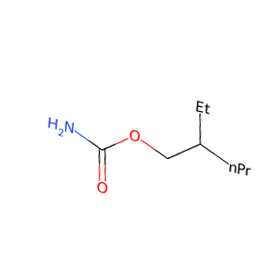 CCCC(CC)COC(N)=O